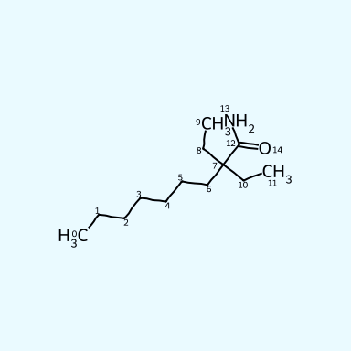 CCCCCCCC(CC)(CC)C(N)=O